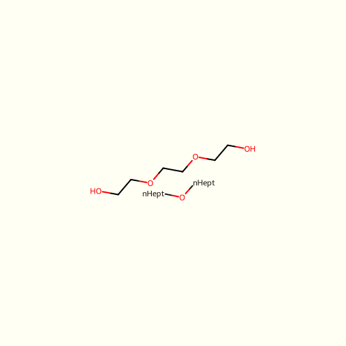 CCCCCCCOCCCCCCC.OCCOCCOCCO